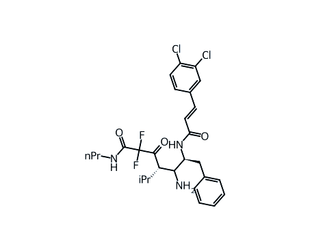 CCCNC(=O)C(F)(F)C(=O)[C@@H](C(C)C)C(N)[C@H](Cc1ccccc1)NC(=O)/C=C/c1ccc(Cl)c(Cl)c1